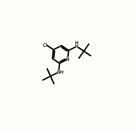 CC(C)(C)Nc1cc(Cl)cc(NC(C)(C)C)n1